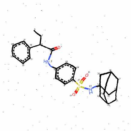 CCC(C(=O)Nc1ccc(S(=O)(=O)NC23CC4CC(CC(C4)C2)C3)cc1)c1ccccc1